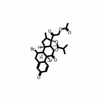 CC(=O)OCC(=O)[C@@]1(OC(=O)C(C)C)C(C)C[C@H]2[C@@H]3C(Br)CC4=CC(=O)C=C[C@]4(C)[C@H]3C(=O)C[C@@]21C